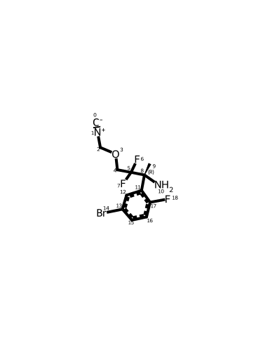 [C-]#[N+]COCC(F)(F)[C@](C)(N)c1cc(Br)ccc1F